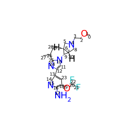 COCCN1C[C@@H]2[C@H](C1)[C@@H]2n1cc(-c2cnc(N)c(OC(F)F)c2)nc1C(C)C